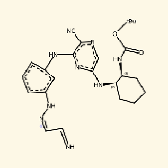 CC(C)(C)OC(=O)N[C@H]1CCCC[C@H]1Nc1cnc(C#N)c(Nc2cccc(N/N=C\C=N)c2)n1